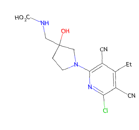 CCc1c(C#N)c(Cl)nc(N2CCC(O)(CNC(=O)O)C2)c1C#N